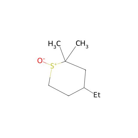 CCC1CC[S+]([O-])C(C)(C)C1